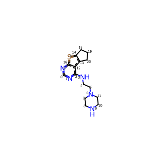 c1nc(NCCN2CCNCC2)c2c3c(sc2n1)CCC3